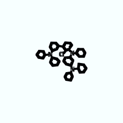 Clc1c(-c2cccc(N(c3ccccc3)c3ccccc3)c2)cccc1N(c1ccccc1)c1cccc(N(c2ccccc2)c2ccccc2)c1